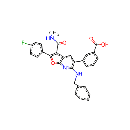 CNC(=O)c1c(-c2ccc(F)cc2)oc2nc(NCc3ccccc3)c(-c3cccc(C(=O)O)c3)cc12